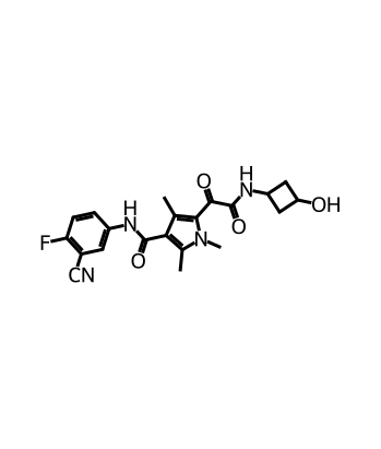 Cc1c(C(=O)Nc2ccc(F)c(C#N)c2)c(C)n(C)c1C(=O)C(=O)NC1CC(O)C1